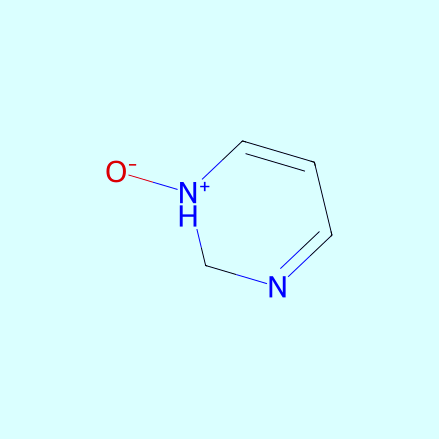 [O-][NH+]1C=CC=NC1